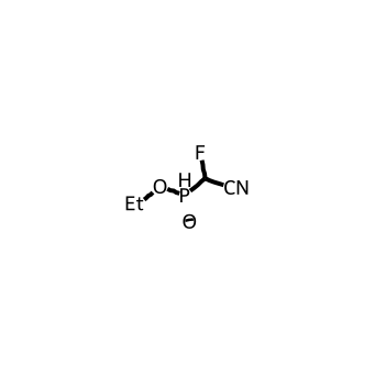 CCO[PH](=O)C(F)C#N